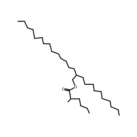 CCCCCCCCCCCCCCC(CCCCCCCCCC)COC(=O)C(C)CCCC